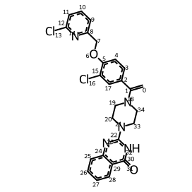 C=C(c1ccc(OCc2cccc(Cl)n2)c(Cl)c1)N1CCN(c2nc3ccccc3c(=O)[nH]2)CC1